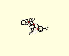 O=C(NCc1cccc(Cl)c1)C1CC2CCC(C1)N2C(=O)c1cc(Br)n(PI)n1